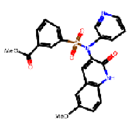 COC(=O)c1cccc(S(=O)(=O)N(c2cccnc2)c2cc3cc(OC)ccc3[nH]c2=O)c1